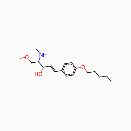 CCCCCOc1ccc(/C=C/[C@H](O)[C@@H](COC)NC)cc1